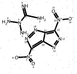 N=C(N)N(N)N.O=[N+]([O-])C1=C2N=NC([N+](=O)[O-])=C2N=N1